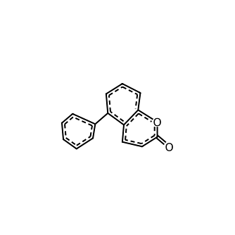 O=c1ccc2c(-c3ccccc3)cccc2o1